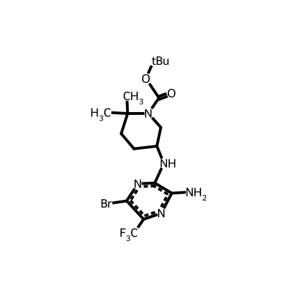 CC(C)(C)OC(=O)N1CC(Nc2nc(Br)c(C(F)(F)F)nc2N)CCC1(C)C